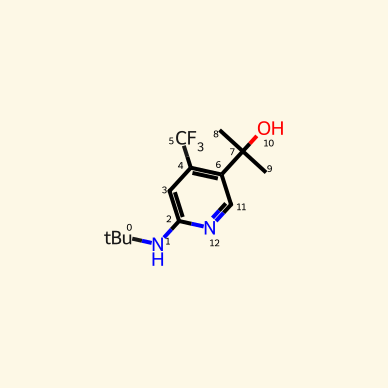 CC(C)(C)Nc1cc(C(F)(F)F)c(C(C)(C)O)cn1